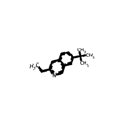 CCc1cc2ccc(C(C)(C)C)cc2cn1